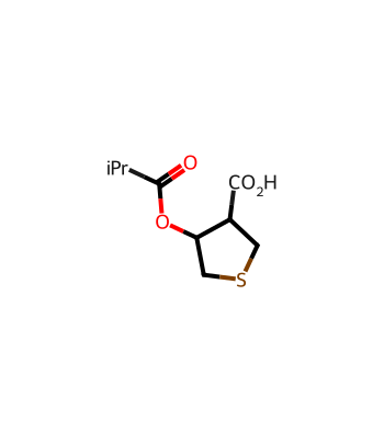 CC(C)C(=O)OC1CSCC1C(=O)O